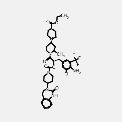 CCOC(=O)C1CCN(C2CCN(C(=O)[C@@H](Cc3cc(Cl)c(N)c(C(F)(F)F)c3)OC(=O)N3CCC(N4CCc5ccccc5NC4=O)CC3)C(C)C2)CC1